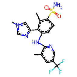 Cc1cc(C(F)(F)F)cnc1Nc1ccc(S(N)(=O)=O)c(C)c1-c1cn(C)cn1